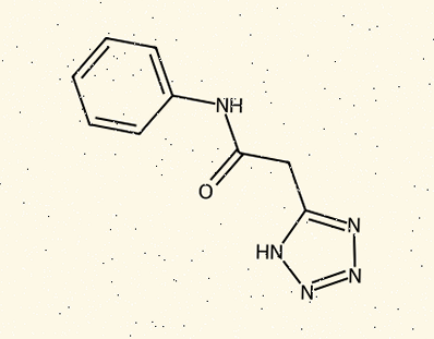 O=C(Cc1nnn[nH]1)Nc1ccccc1